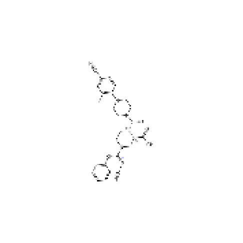 Cc1cc(C#N)ccc1N1CCN(C(=O)[C@H]2CCN(/C(=N/C#N)Oc3ccccc3)C[C@@H]2C(=O)O)CC1